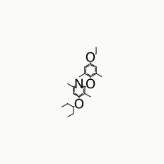 CCOc1cc(C)c(Oc2nc(C)cc(OC(CC)CC)c2C)c(C)c1